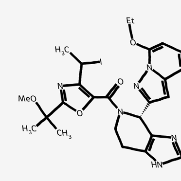 CCOc1cccc2cc([C@@H]3c4nc[nH]c4CCN3C(=O)c3oc(C(C)(C)OC)nc3C(C)I)nn12